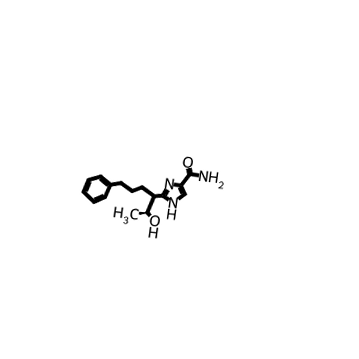 C[C@H](O)C(CCCc1ccccc1)c1nc(C(N)=O)c[nH]1